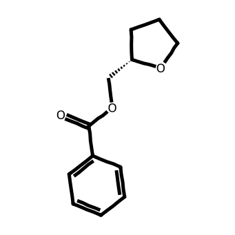 O=C(OC[C@@H]1CCCO1)c1ccccc1